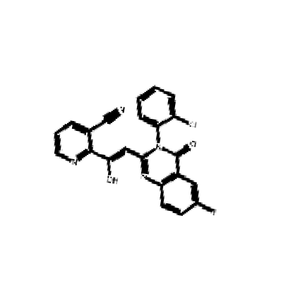 N#Cc1cccnc1C(O)=Cc1nc2ccc(F)cc2c(=O)n1-c1ccccc1Cl